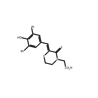 CC(C)c1cc(C=C2SCCN(CC(=O)O)C2=S)cc(C(C)C)c1O